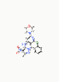 Cc1n[n+]2c(-c3ccccc3Cl)c3cnc(N4CCOCC4)cc3[nH]c-2c1[N+](=O)[O-]